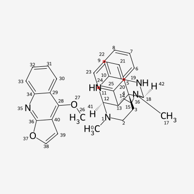 CN1CC[C@]23c4ccccc4N[C@H]1[C@]21CCN(C)[C@H]3Nc2ccccc21.COc1c2ccccc2nc2occc12